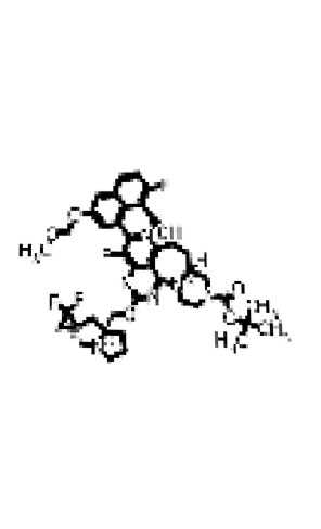 C#Cc1c(F)ccc2cc(OCOC)cc(-c3nc4c5c(nc(OC[C@@]67CCCN6C[C@@]6(CC6(F)F)C7)nc5c3F)N3CCN(C(=O)OC(C)(C)C)C[C@H]3CC4)c12